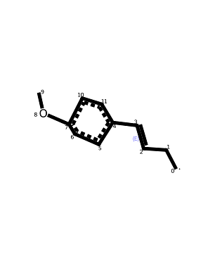 [CH2]C/C=C/c1ccc(OC)cc1